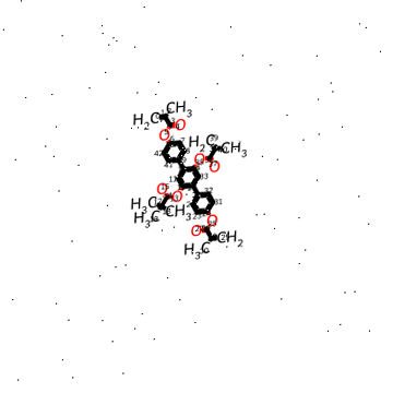 C=C(C)C(=O)Oc1ccc(-c2cc(OC(=O)C(C)(C)C)c(-c3ccc(OC(=O)C(=C)C)cc3)cc2OC(=O)C(=C)C)cc1